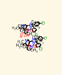 CCOc1cc(C(C)(C)C)ncc1C1=N[C@@](C)(c2ccc(Cl)cc2)[C@@](C)(c2ccc(Cl)cc2)N1C(=O)N1CC=CCC1.CCOc1cc(C(C)(C)C)ncc1C1=N[C@@](C)(c2ccc(Cl)cc2)[C@@](C)(c2ccc(Cl)cc2)N1C(=O)N1CCC(O)C(O)C1